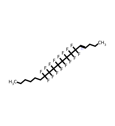 CCC/C=C/C(F)(F)C(F)(F)C(F)(F)C(F)(F)C(F)(F)C(F)(F)C(F)(F)C(F)(F)CCCCCC